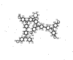 COc1ccc(N(c2ccc(C)cc2)c2ccc(-c3ccc(N(c4ccc(OC)cc4)c4ccc(C5(c6ccc(N(c7ccc(OC)cc7)c7ccc(-c8ccc(N(c9ccc(OC)cc9)c9ccc(OC)cc9)cc8)cc7)cc6)CCCCC5)cc4)cc3)cc2)cc1